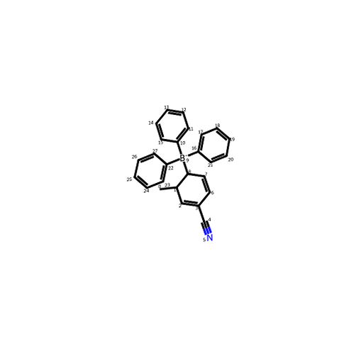 CC1C=C(C#N)C=CC1[B-](c1ccccc1)(c1ccccc1)c1ccccc1